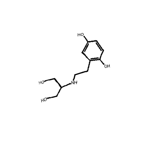 OCC(CO)NCCc1cc(O)ccc1O